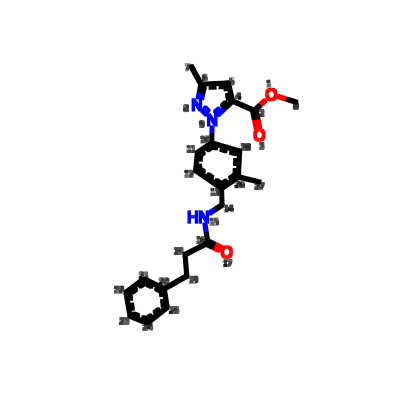 COC(=O)c1cc(C)nn1-c1ccc(CNC(=O)CCc2ccccc2)c(C)c1